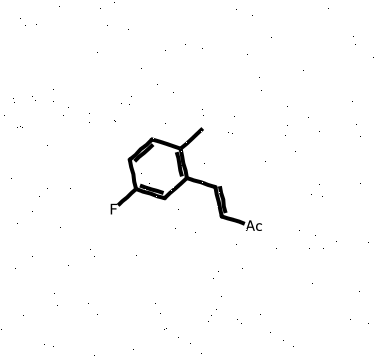 CC(=O)C=Cc1cc(F)ccc1C